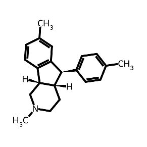 Cc1ccc([C@@H]2c3cc(C)ccc3[C@H]3CN(C)CC[C@@H]23)cc1